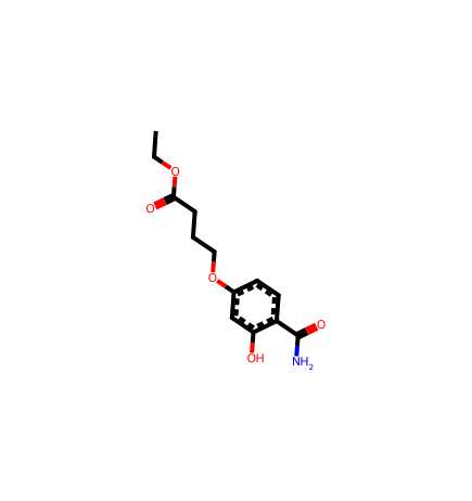 CCOC(=O)CCCOc1ccc(C(N)=O)c(O)c1